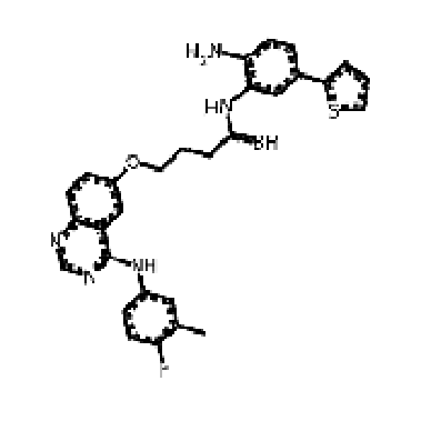 B=C(CCCOc1ccc2ncnc(Nc3ccc(F)c(C)c3)c2c1)Nc1cc(-c2cccs2)ccc1N